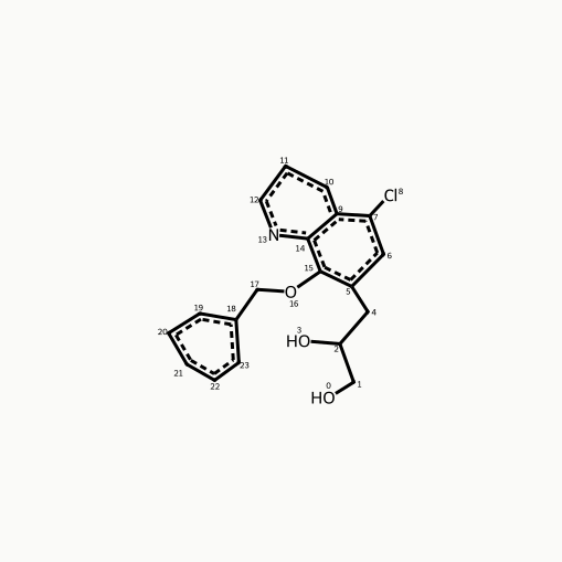 OCC(O)Cc1cc(Cl)c2cccnc2c1OCc1ccccc1